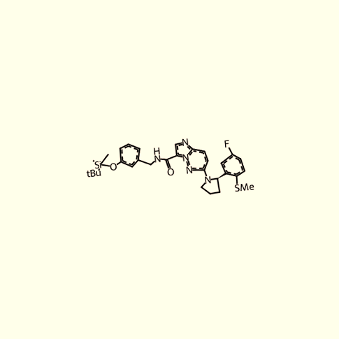 CSc1ccc(F)cc1[C@H]1CCCN1c1ccc2ncc(C(=O)NCc3cccc(O[Si](C)(C)C(C)(C)C)c3)n2n1